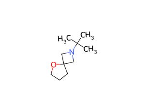 CC(C)(C)N1CC2(CCCO2)C1